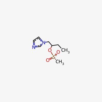 CCC(Cn1ccnc1)OS(C)(=O)=O